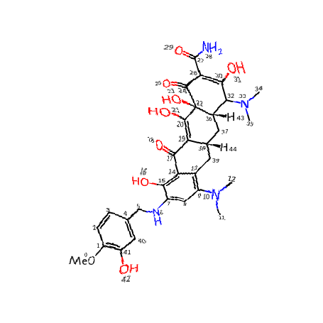 COc1ccc(CNc2cc(N(C)C)c3c(c2O)C(=O)C2=C(O)[C@]4(O)C(=O)C(C(N)=O)=C(O)C(N(C)C)[C@@H]4C[C@@H]2C3)cc1O